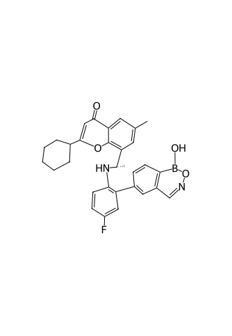 Cc1cc([C@H](C)Nc2ccc(F)cc2-c2ccc3c(c2)C=NOB3O)c2oc(C3CCCCC3)cc(=O)c2c1